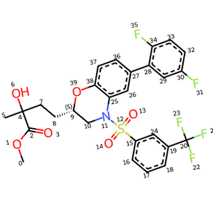 COC(=O)C(C)(O)CC[C@H]1CN(S(=O)(=O)c2cccc(C(F)(F)F)c2)c2cc(-c3cc(F)ccc3F)ccc2O1